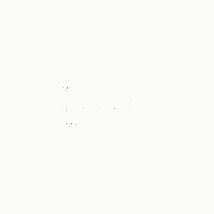 C=C(NC(O)c1cc(OC)c(O)c(OC)c1)C(=O)O